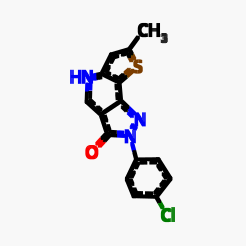 Cc1cc2[nH]cc3c(=O)n(-c4ccc(Cl)cc4)nc-3c2s1